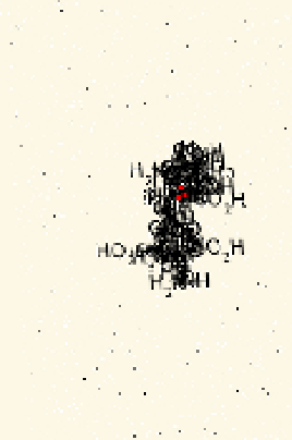 CC[C@H](C)[C@H](NC(=O)[C@@H](NC(=O)[C@H](CCC(N)=O)NC(=O)CNC(=O)[C@H](CC(=O)O)NC(=O)[C@H](CCCNC(=N)N)NC(=O)[C@@H](NC(=O)[C@@H](N)CCC(=O)O)[C@@H](C)O)C(C)C)C(=O)N[C@@H](CC(N)=O)C(=O)N[C@@H](CCC(=O)O)C(=O)N[C@H](C(=O)N[C@@H](CO)C(=O)N[C@@H](CCC(N)=O)C(=O)O)[C@@H](C)O